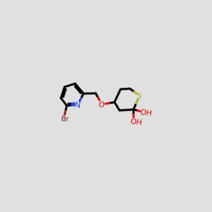 OC1(O)CC(OCc2cccc(Br)n2)CCS1